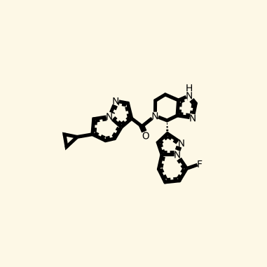 O=C(c1cnn2cc(C3CC3)ccc12)N1CCc2[nH]cnc2[C@@H]1c1cc2cccc(F)n2n1